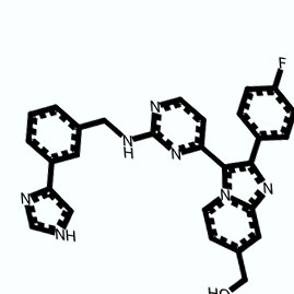 OCc1ccn2c(-c3ccnc(NCc4cccc(-c5c[nH]cn5)c4)n3)c(-c3ccc(F)cc3)nc2c1